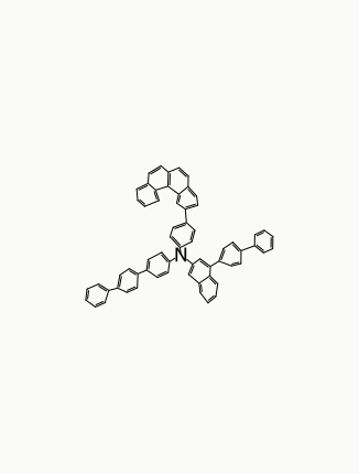 c1ccc(-c2ccc(-c3ccc(N(c4ccc(-c5ccc6ccc7ccc8ccccc8c7c6c5)cc4)c4cc(-c5ccc(-c6ccccc6)cc5)c5ccccc5c4)cc3)cc2)cc1